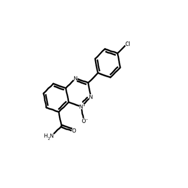 NC(=O)c1cccc2nc(-c3ccc(Cl)cc3)n[n+]([O-])c12